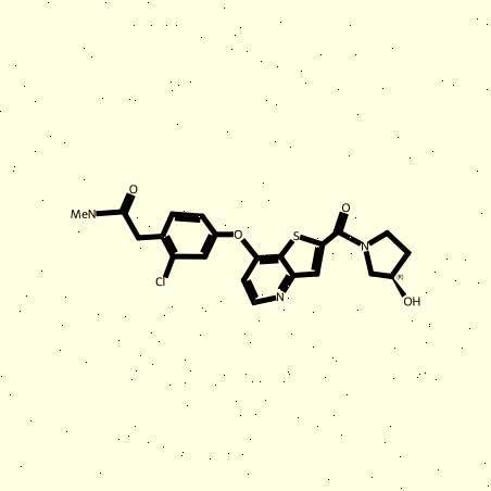 CNC(=O)Cc1ccc(Oc2ccnc3cc(C(=O)N4CC[C@@H](O)C4)sc23)cc1Cl